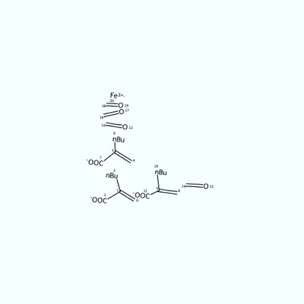 C=C(CCCC)C(=O)[O-].C=C(CCCC)C(=O)[O-].C=C(CCCC)C(=O)[O-].[C]=O.[C]=O.[C]=O.[C]=O.[Fe+3]